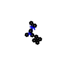 c1ccc(-n2c3ccc(-c4ccc5c(c4)C(c4ccccc4)(c4ccccc4)c4ccccc4-5)cc3c3cc(-c4nc5c6c(cccc6n4)-c4ccccc4-5)ccc32)cc1